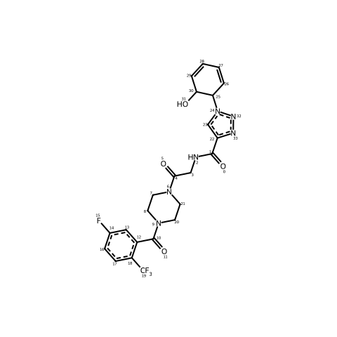 O=C(NCC(=O)N1CCN(C(=O)c2cc(F)ccc2C(F)(F)F)CC1)c1cn(C2C=CC=CC2O)nn1